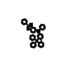 c1ccc(-c2nc3cc(N(c4ccccc4)c4ccc5c(c4)C(c4ccccc4)(c4ccccc4)c4ccccc4-5)ccc3s2)cc1